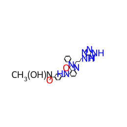 CN(O)C(=O)c1ccc(CNc2cccc3nc(CCCNc4ncnc5[nH]cnc45)n(-c4ccccc4)c(=O)c23)cc1